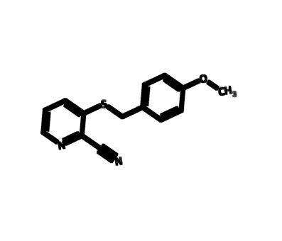 COc1ccc(CSc2cccnc2C#N)cc1